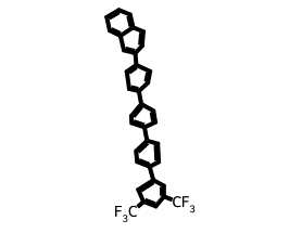 FC(F)(F)c1cc(-c2ccc(-c3ccc(-c4ccc(-c5ccc6ccccc6c5)cc4)cc3)cc2)cc(C(F)(F)F)c1